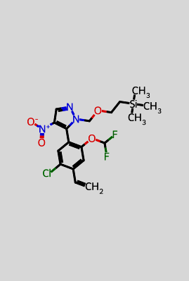 C=Cc1cc(OC(F)F)c(-c2c([N+](=O)[O-])cnn2COCC[Si](C)(C)C)cc1Cl